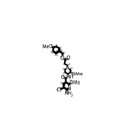 COc1ccc(COC(=O)CCN2CC[C@H](NC(=O)c3cc(Cl)c(N)nc3OC)[C@H](OC)C2)cc1